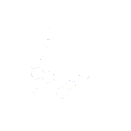 CC(C)(C)OC(=O)Nc1nc2c(-c3c(Cl)cc4c(N5CCN(C(=O)OC(C)(C)C)CC5)ncnc4c3OS(=O)(=O)C(F)(F)F)ccc(F)c2s1